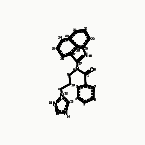 O=C(c1ccccc1)N(CCCn1cncn1)C1=Nc2cccc3cccc1c23